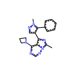 Cc1nc(-c2cnn(C)c2-c2ccccc2)c2c(N3CCC3)ncnn12